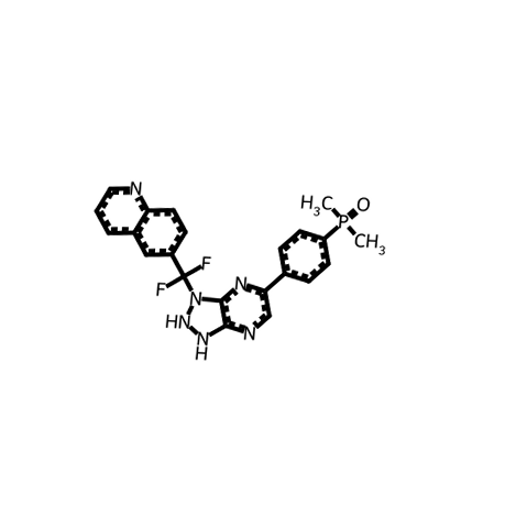 CP(C)(=O)c1ccc(-c2cnc3c(n2)N(C(F)(F)c2ccc4ncccc4c2)NN3)cc1